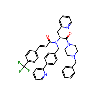 O=C([C@H](Cc1ccccn1)N(Cc1ccc(-c2ccccn2)cc1)C(=O)/C=C/c1ccc(C(F)(F)F)cc1)N1CCN(Cc2ccccc2)CC1